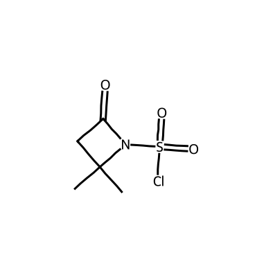 CC1(C)CC(=O)N1S(=O)(=O)Cl